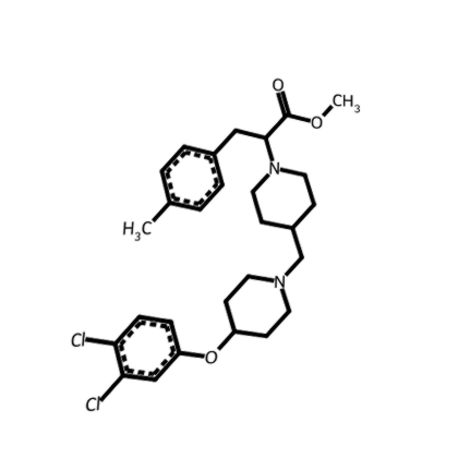 COC(=O)C(Cc1ccc(C)cc1)N1CCC(CN2CCC(Oc3ccc(Cl)c(Cl)c3)CC2)CC1